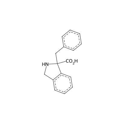 O=C(O)C1(Cc2ccccc2)NCc2ccccc21